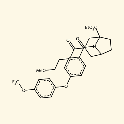 CCOC(=O)C12CCC(CN(C(=O)OCCOC)C1)N2C(=O)c1ccc(Oc2ccc(OC(F)(F)F)cc2)cc1